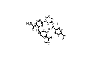 COc1ccc(C(=O)NC2CCCN(c3cnc(C(N)=O)c(Nc4ccc(C(=O)N(C)C)cc4)n3)C2)cc1